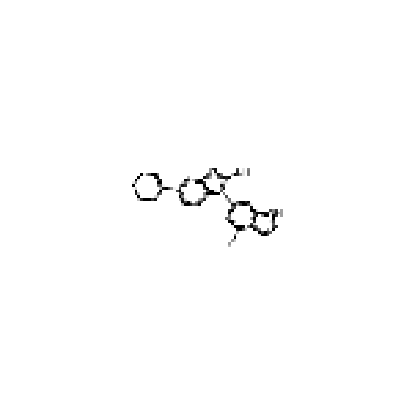 Nc1nc2cc(C3=CCCCC3)ccc2n1-c1cc(Cl)c2cc[nH]c2c1